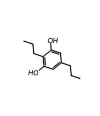 CCCc1cc(O)c(CCC)c(O)c1